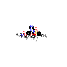 Cc1ccc(S(=O)(=O)N(C(=O)c2cnccn2)[C@@H](Cc2ccc(OC(=O)N(C)C)cc2)C(=O)OC(C)(C)C)cc1